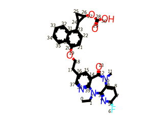 CCN1C2=NC(F)CC=C2N(C)C(=O)c2cc(CCOc3ccc(C4CC4OC(=O)O)c4ccccc34)cnc21